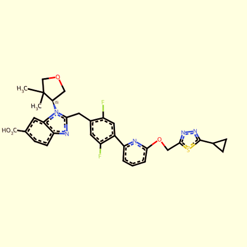 CC1(C)COC[C@H]1n1c(Cc2cc(F)c(-c3cccc(OCc4nnc(C5CC5)s4)n3)cc2F)nc2ccc(C(=O)O)cc21